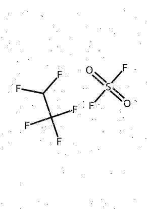 FC(F)C(F)(F)F.O=S(=O)(F)F